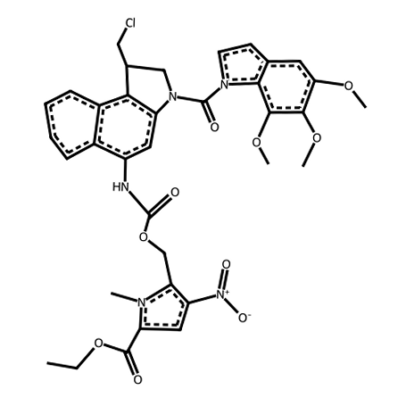 CCOC(=O)c1cc([N+](=O)[O-])c(COC(=O)Nc2cc3c(c4ccccc24)C(CCl)CN3C(=O)n2ccc3cc(OC)c(OC)c(OC)c32)n1C